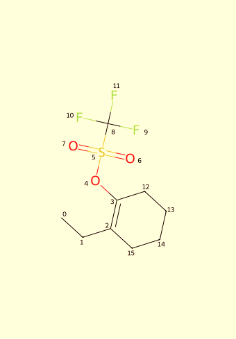 CCC1=C(OS(=O)(=O)C(F)(F)F)CCCC1